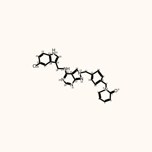 O=c1ccccn1Cc1ccc(Cn2cc3c(NCc4c[nH]c5ccc(Cl)cc45)ncnc3n2)cc1